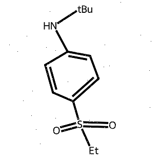 CCS(=O)(=O)c1ccc(NC(C)(C)C)cc1